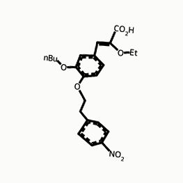 CCCCOc1cc(/C=C(\OCC)C(=O)O)ccc1OCCc1ccc([N+](=O)[O-])cc1